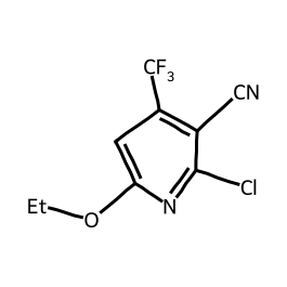 CCOc1cc(C(F)(F)F)c(C#N)c(Cl)n1